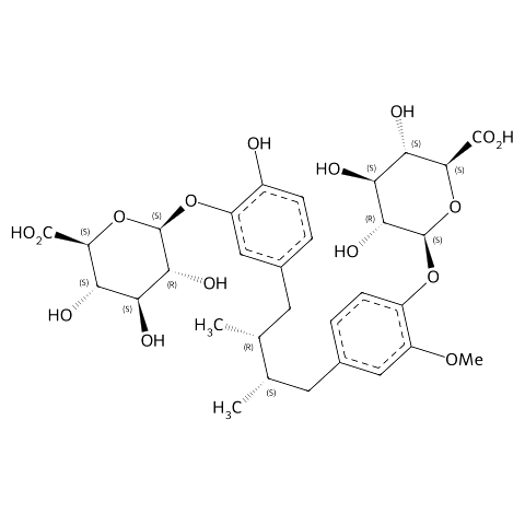 COc1cc(C[C@H](C)[C@H](C)Cc2ccc(O)c(O[C@@H]3O[C@H](C(=O)O)[C@@H](O)[C@H](O)[C@H]3O)c2)ccc1O[C@@H]1O[C@H](C(=O)O)[C@@H](O)[C@H](O)[C@H]1O